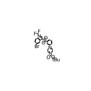 CC(C)(C)OC(=O)N1CCN(c2cccc(S(=O)(=O)c3cn(C(F)F)c4ccc(Br)cc34)c2)CC1